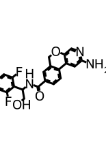 Nc1cc2c(cn1)OCc1cc(C(=O)NC(CO)c3c(F)cccc3F)ccc1-2